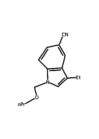 CCCOCn1cc(CC)c2cc(C#N)ccc21